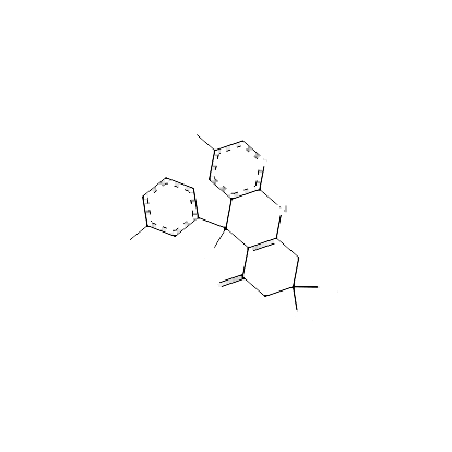 CC1(C)CC(=O)C2=C(C1)Nc1ncc(F)cc1C2(C)c1cccc(O)c1